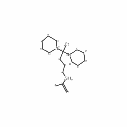 C=C(C)[SiH2]CCCC(CC)(N1CCCCC1)N1CCCCC1